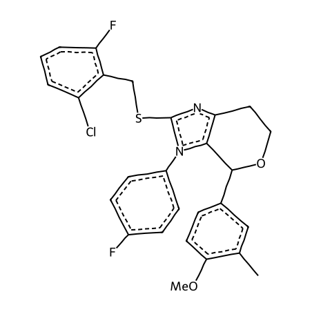 COc1ccc(C2OCCc3nc(SCc4c(F)cccc4Cl)n(-c4ccc(F)cc4)c32)cc1C